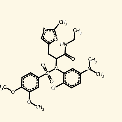 CCNC(=O)C(Cc1cnc(C)s1)N(c1cc(N(C)C)ccc1Cl)S(=O)(=O)c1ccc(OC)c(OC)c1